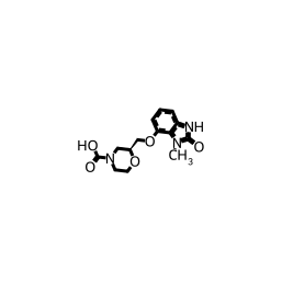 Cn1c(=O)[nH]c2cccc(OC[C@@H]3CN(C(=O)O)CCO3)c21